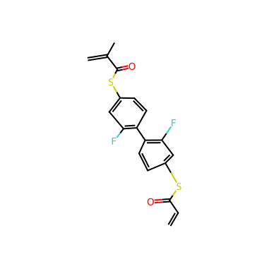 C=CC(=O)Sc1ccc(-c2ccc(SC(=O)C(=C)C)cc2F)c(F)c1